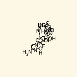 [N-]=[N+]=NCC[C@]1(COP(=O)(O)OP(=O)(O)OP(=O)(O)O)O[C@@H](N2C=CC(N)=NC2O)[C@H](F)[C@@H]1O